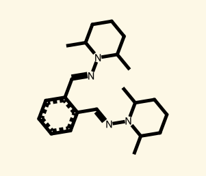 CC1CCCC(C)N1N=Cc1ccccc1C=NN1C(C)CCCC1C